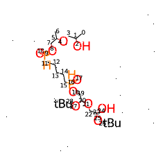 CC(O)COC(C)CO[PH](=O)CCCCC[PH](=O)OCC(OCC(O)OC(C)(C)C)OC(C)(C)C